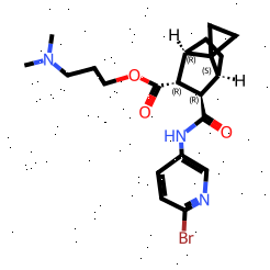 CN(C)CCCOC(=O)[C@H]1[C@H](C(=O)Nc2ccc(Br)nc2)[C@@H]2CC[C@H]1C21CC1